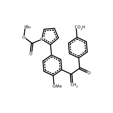 C=C(C(=O)c1ccc(C(=O)O)cc1)c1cc(-c2cccn2C(=O)OC(C)(C)C)ccc1OC